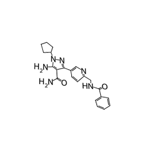 NC(=O)c1c(-c2ccc(CNC(=O)c3ccccc3)nc2)nn(C2CCCC2)c1N